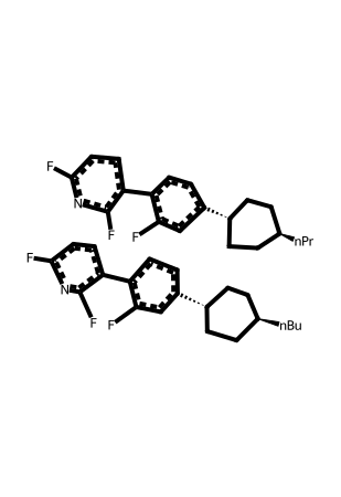 CCCC[C@H]1CC[C@H](c2ccc(-c3ccc(F)nc3F)c(F)c2)CC1.CCC[C@H]1CC[C@H](c2ccc(-c3ccc(F)nc3F)c(F)c2)CC1